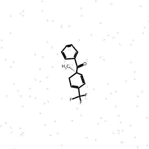 C[C@]1(C(=O)c2ccccc2)C=CC(C(F)(F)F)=CC1